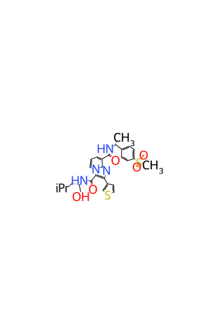 CC(C)C[C@@H](CO)NC(=O)c1c(-c2ccsc2)nc2c(C(=O)N[C@H](C)c3ccc(S(C)(=O)=O)cc3)cccn12